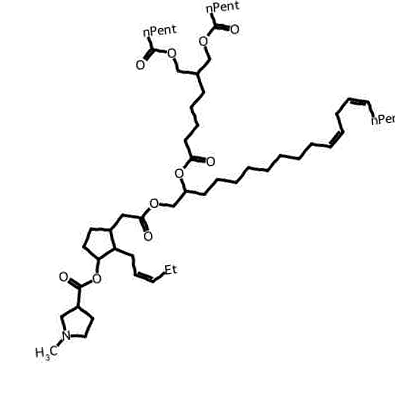 CC/C=C\CC1C(CC(=O)OCC(CCCCCCCC/C=C\C/C=C\CCCCC)OC(=O)CCCCC(COC(=O)CCCCC)COC(=O)CCCCC)CCC1OC(=O)C1CCN(C)C1